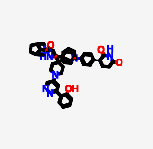 O=C1CC[C@H](c2ccc(N3CCC(CCN4CC5CCC(C4)C5C(=O)NCC4(c5ccccc5)CCN(c5cnnc(-c6ccccc6O)c5)CC4)CC3)cc2)C(=O)N1